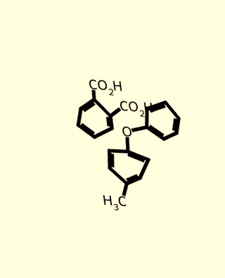 Cc1ccc(Oc2ccccc2)cc1.O=C(O)c1ccccc1C(=O)O